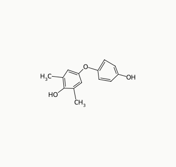 Cc1cc(Oc2ccc(O)cc2)cc(C)c1O